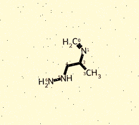 C=NC(C)CNN